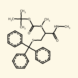 CNC(=O)C(CSC(c1ccccc1)(c1ccccc1)c1ccccc1)N(C)C(=O)OC(C)(C)C